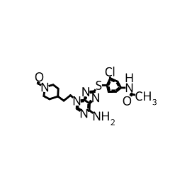 CC(=O)Nc1ccc(Sc2nc3c(N)ncn(CCC4CCN(C=O)CC4)c-3n2)c(Cl)c1